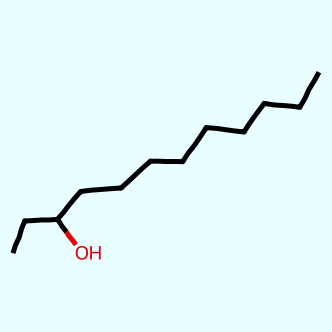 CCCCCCCCCC(O)CC